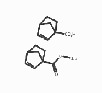 CC(C)(C)OC(=O)C12C=CC(CC1)C2.O=C(O)C12C=CC(CC1)C2